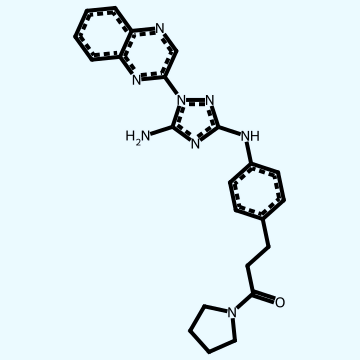 Nc1nc(Nc2ccc(CCC(=O)N3CCCC3)cc2)nn1-c1cnc2ccccc2n1